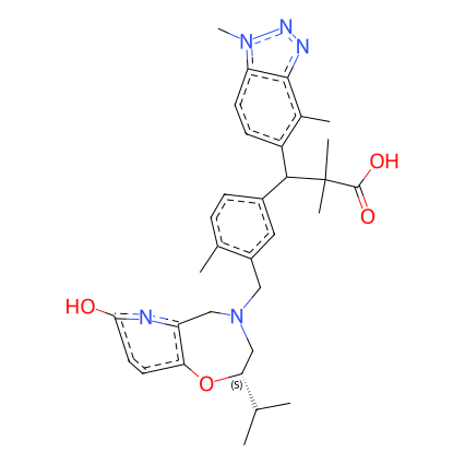 Cc1ccc(C(c2ccc3c(nnn3C)c2C)C(C)(C)C(=O)O)cc1CN1Cc2nc(O)ccc2O[C@@H](C(C)C)C1